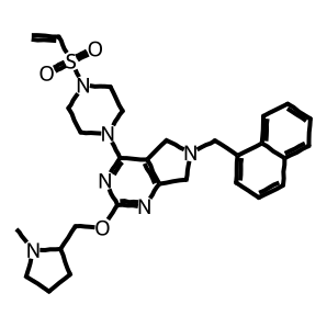 C=CS(=O)(=O)N1CCN(c2nc(OCC3CCCN3C)nc3c2CN(Cc2cccc4ccccc24)C3)CC1